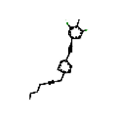 CCCCC#CCc1ccc(C#Cc2cc(F)c(C)c(F)c2)cc1